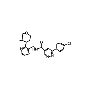 CC1COCCN1c1ncccc1CNC(=O)c1cnnc(-c2ccc(Cl)cc2)c1